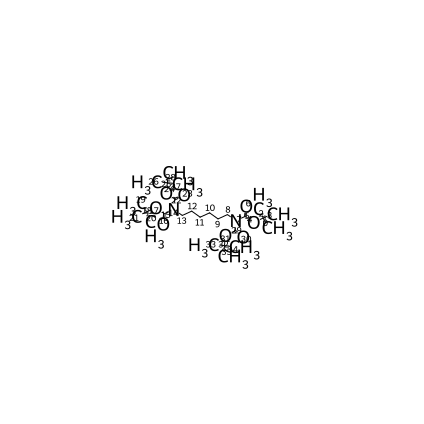 CC(C)(C)OC(=O)N(CCCCCCN(C(=O)OC(C)(C)C)C(=O)OC(C)(C)C)C(=O)OC(C)(C)C